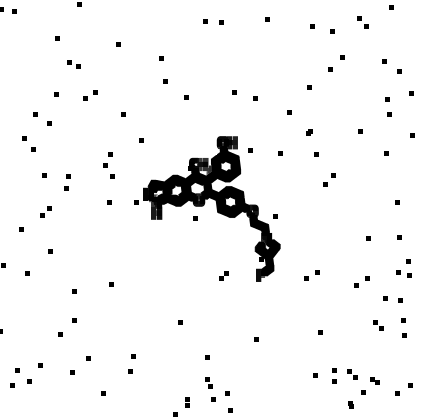 CC1=C(c2cccc(O)c2)C(c2ccc(OCCN3CC(CF)C3)cc2)Oc2cc3[nH]ncc3cc21